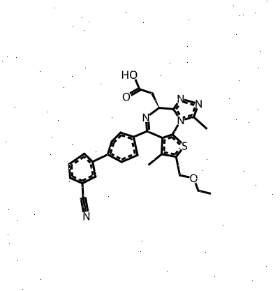 CCOCc1sc2c(c1C)C(c1ccc(-c3cccc(C#N)c3)cc1)=N[C@@H](CC(=O)O)c1nnc(C)n1-2